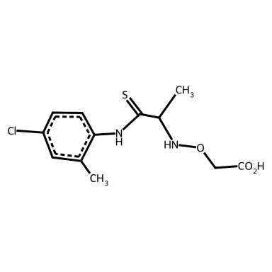 Cc1cc(Cl)ccc1NC(=S)C(C)NOCC(=O)O